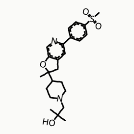 CC(C)(O)CN1CCC(C2(C)Cc3cc(-c4ccc(S(C)(=O)=O)cc4)ncc3O2)CC1